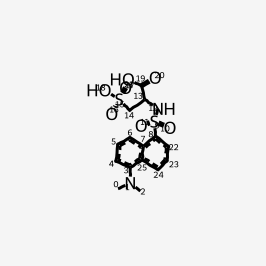 CN(C)c1cccc2c(S(=O)(=O)NC(CS(=O)(=O)O)C(=O)O)cccc12